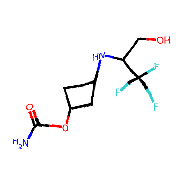 NC(=O)OC1CC(NC(CO)C(F)(F)F)C1